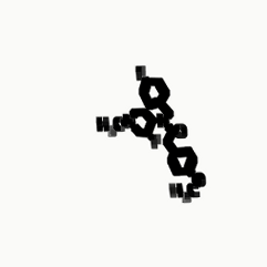 COc1ccc(CC(=O)N(Cc2ccc(F)cc2)[C@H]2CCN(C)C[C@H]2F)cc1